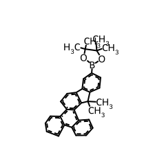 CC1(C)c2ccc(B3OC(C)(C)C(C)(C)O3)cc2-c2ccc3c4ccccc4c4ccccc4c3c21